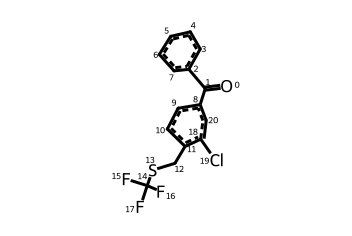 O=C(c1ccccc1)c1ccc(CSC(F)(F)F)c(Cl)c1